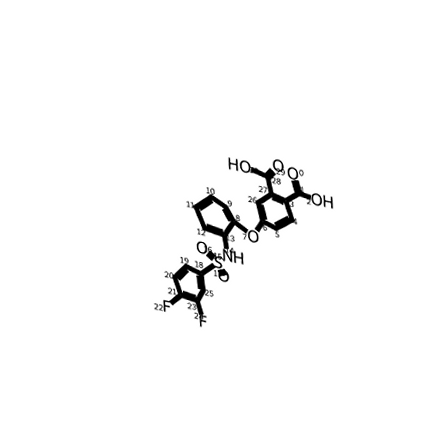 O=C(O)c1ccc(Oc2ccccc2NS(=O)(=O)c2ccc(F)c(F)c2)cc1C(=O)O